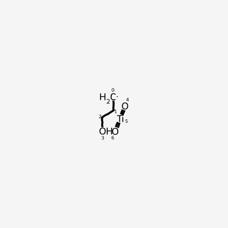 [CH2]CCO.[O]=[Ti]=[O]